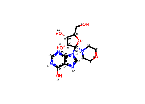 OC[C@H]1O[C@@](N2CCOCC2)(n2cnc3c(O)ncnc32)[C@H](O)[C@@H]1O